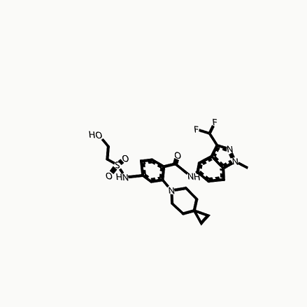 Cn1nc(C(F)F)c2cc(NC(=O)c3ccc(NS(=O)(=O)CCO)cc3N3CCC4(CC3)CC4)ccc21